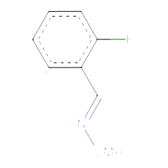 CON=Cc1ccc[c]c1F